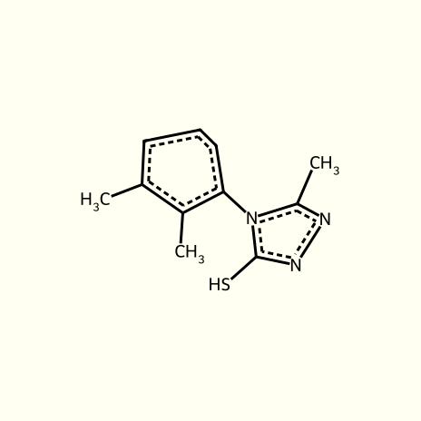 Cc1cccc(-n2c(C)nnc2S)c1C